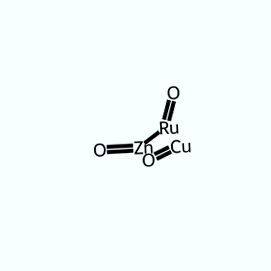 [O]=[Cu].[O]=[Zn][Ru]=[O]